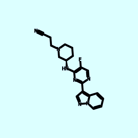 N#CCCN1CCC[C@@H](Nc2nc(-c3cnn4ccccc34)ncc2F)C1